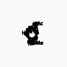 CCn1c(-c2cccnc2[C@H](C)OC)c2c3cc(ccc31)-c1csc(n1)C[C@H](NC(=O)[C@H]1CN(C(C)=O)CCN1C)C(=O)N1CCC[C@@](O)(N1)C(=O)OCC(C)(C)C2